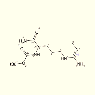 C/N=C(/N)NCCC[C@H](NC(=O)OC(C)(C)C)C(N)=O